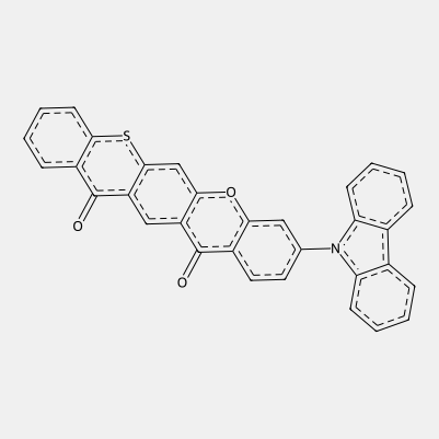 O=c1c2ccc(-n3c4ccccc4c4ccccc43)cc2oc2cc3sc4ccccc4c(=O)c3cc12